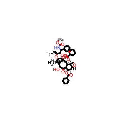 C/C=C(\O[C@H]1C[C@@]2(O)[C@@H](OC(=O)c3ccccc3)C3[C@](C)(C(=O)[C@H](O)C(=C1C)C2(C)C)[C@@H](OC(=O)c1ccccc1)C[C@H]1OC[C@@]31OC(C)=O)[C@H](O)[C@@H](NC(=O)OC(C)(C)C)c1ccccc1